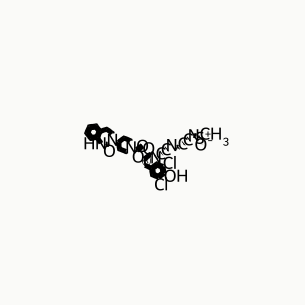 C[S+]([O-])N=C=C=CN=C=C=NC(=O)[C@@H](Cc1cc(Cl)c(O)c(Cl)c1)OC(=O)N1CCC(N2CCc3ccccc3NC2=O)CC1